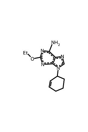 CCOc1nc(N)c2ncn(C3C=CCCC3)c2n1